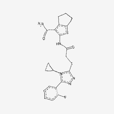 NC(=O)c1c(NC(=O)CSc2nnc(-c3ccccc3F)n2C2CC2)sc2c1CCC2